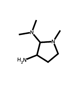 CN(C)C1C(N)CCN1C